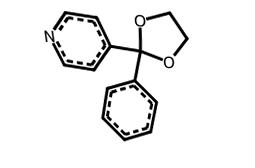 c1ccc(C2(c3ccncc3)OCCO2)cc1